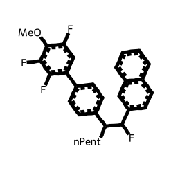 CCCCCC(c1ccc(-c2cc(F)c(OC)c(F)c2F)cc1)C(F)c1ccc2ccccc2c1